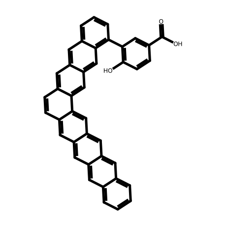 O=C(O)c1ccc(O)c(-c2cccc3cc4cc5ccc6cc7cc8cc9ccccc9cc8cc7cc6c5cc4cc23)c1